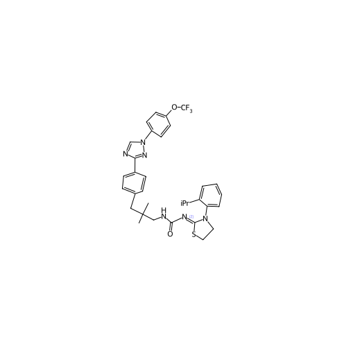 CC(C)c1ccccc1N1CCS/C1=N\C(=O)NCC(C)(C)Cc1ccc(-c2ncn(-c3ccc(OC(F)(F)F)cc3)n2)cc1